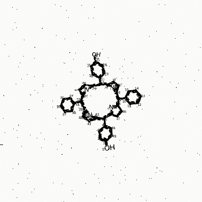 Oc1ccc(-c2c3nc(c(-c4ccccc4)c4ccc([nH]4)c(-c4ccc(O)cc4)c4nc(c(-c5ccccc5)c5ccc2[nH]5)C=C4)C=C3)cc1